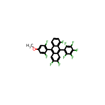 COc1cc(F)c(-c2c3cc(F)c(F)cc3c(-c3c(F)c(F)c(F)c(F)c3F)c3c(F)cccc23)c(F)c1